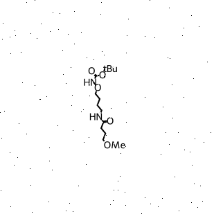 COCCCC(=O)NCCCCONC(=O)OC(C)(C)C